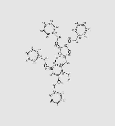 CCc1c(OCc2ccccc2)cc(OCc2ccccc2)c(I)c1CC1O[C@@H](OCc2ccccc2)[C@H](OCc2ccccc2)O1